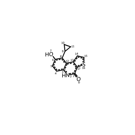 O=c1[nH]c2ccc(O)c(C3CC3)c2c2ccsc12